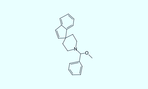 COC(c1ccccc1)N1CCC2(C=Cc3ccccc32)CC1